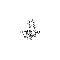 COC(=O)C(Cc1ccccc1)Nc1ccccc1[N+](=O)[O-]